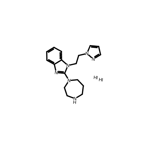 I.I.c1ccc2c(c1)nc(N1CCCNCC1)n2CCn1cccn1